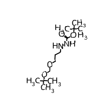 CC(C)(C)OCOCCCNNC(=O)OC(C)(C)C